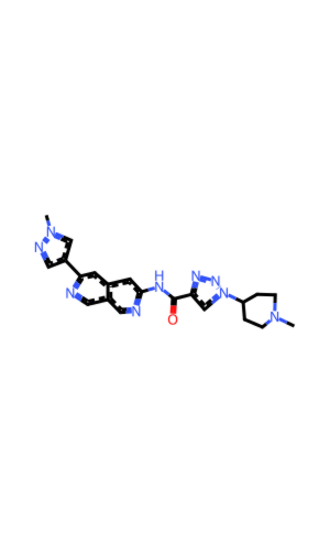 CN1CCC(n2cc(C(=O)Nc3cc4cc(-c5cnn(C)c5)ncc4cn3)nn2)CC1